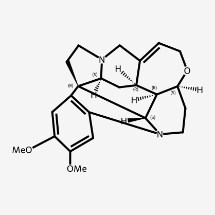 COc1cc2c(cc1OC)[C@@]13CCN4CC5=CCO[C@H]6CCN2[C@H]1[C@H]6[C@H]5C[C@H]43